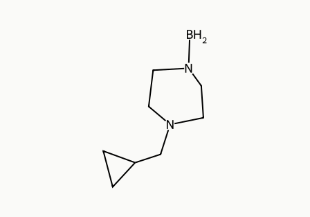 BN1CCN(CC2CC2)CC1